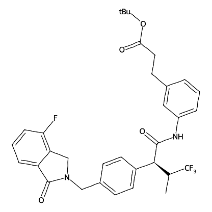 CC([C@H](C(=O)Nc1cccc(CCC(=O)OC(C)(C)C)c1)c1ccc(CN2Cc3c(F)cccc3C2=O)cc1)C(F)(F)F